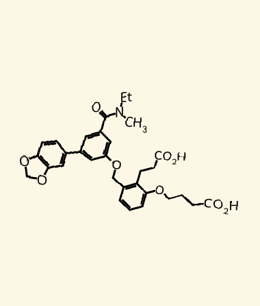 CCN(C)C(=O)c1cc(OCc2cccc(OCCCC(=O)O)c2CCC(=O)O)cc(-c2ccc3c(c2)OCO3)c1